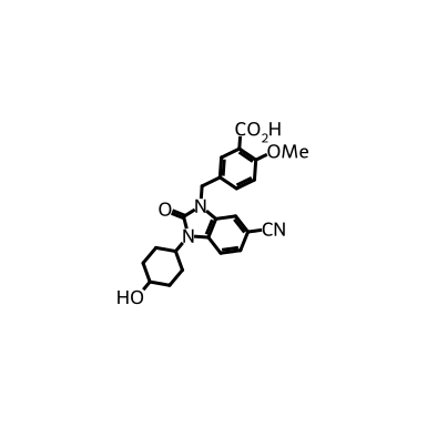 COc1ccc(Cn2c(=O)n(C3CCC(O)CC3)c3ccc(C#N)cc32)cc1C(=O)O